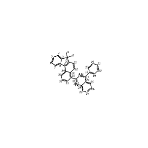 CC1(C)c2ccccc2-c2c1ccc1c(-c3nc(-c4ccccc4)c4ccccc4n3)cccc21